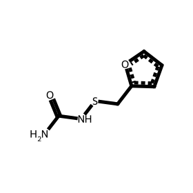 NC(=O)NSCc1ccco1